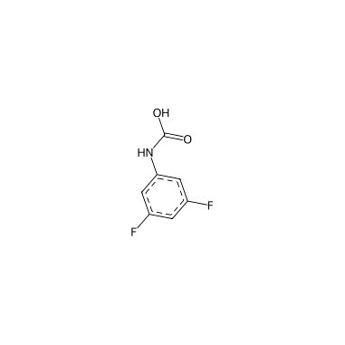 O=C(O)Nc1cc(F)cc(F)c1